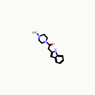 O=[C]N1CCN(C(=O)Cc2cc3ccccc3[nH]2)CC1